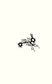 CC1(C)Oc2ccc(C#N)cc2C(NCC(O)COc2ccccc2)C1O